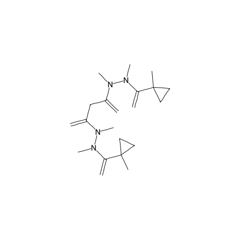 C=C(CC(=C)N(C)N(C)C(=C)C1(C)CC1)N(C)N(C)C(=C)C1(C)CC1